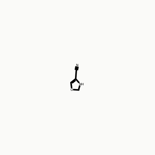 N#CC1=CO[CH]N1